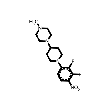 CN1CCN(C2CCN(c3ccc([N+](=O)[O-])c(F)c3F)CC2)CC1